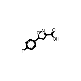 O=C(O)C1=NOC(c2ccc(F)cc2)C1